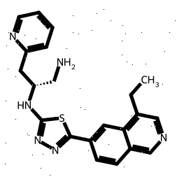 CCc1cncc2ccc(-c3nnc(N[C@@H](CN)Cc4ccccn4)s3)cc12